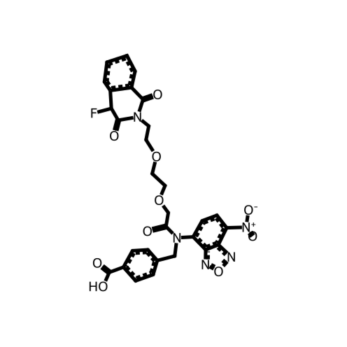 O=C(O)c1ccc(CN(C(=O)COCCOCCN2C(=O)c3ccccc3C(F)C2=O)c2ccc([N+](=O)[O-])c3nonc23)cc1